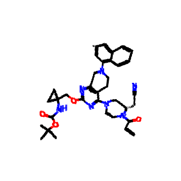 C=CC(=O)N1CCN(c2nc(OCC3(NC(=O)OC(C)(C)C)CC3)nc3c2CCN(c2c[c]cc4ccccc24)C3)C[C@@H]1CC#N